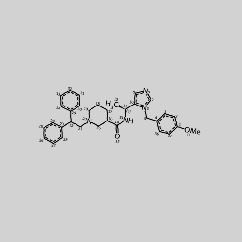 COc1ccc(Cn2cncc2[C@H](C)NC(=O)C2CCCN(CC(c3ccccc3)c3ccccc3)C2)cc1